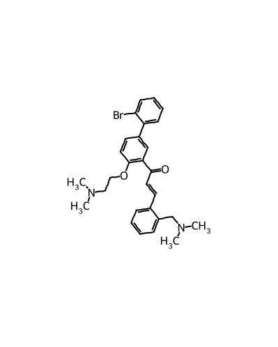 CN(C)CCOc1ccc(-c2ccccc2Br)cc1C(=O)C=Cc1ccccc1CN(C)C